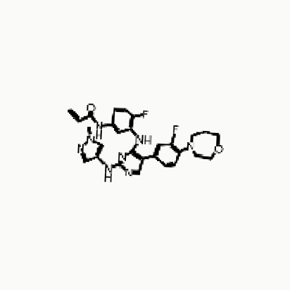 C=CC(=O)Nc1ccc(F)c(Nc2nc(Nc3cnn(C)c3)ncc2-c2ccc(N3CCCOCC3)c(F)c2)c1